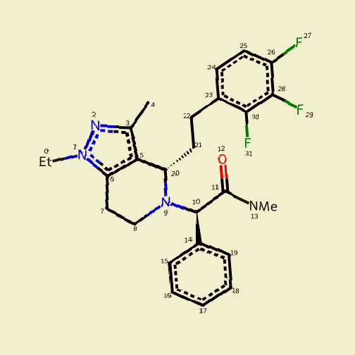 CCn1nc(C)c2c1CCN([C@@H](C(=O)NC)c1ccccc1)[C@H]2CCc1ccc(F)c(F)c1F